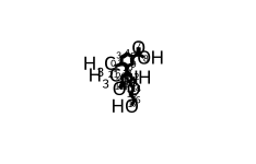 CCc1ccc(C(=O)O)cc1-c1[nH]n(OCCO)c(=O)c1C